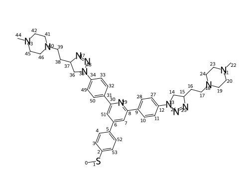 CSc1ccc(-c2cc(-c3ccc(N4CC(CCN5CCN(C)CC5)N=N4)cc3)nc(-c3ccc(N4CC(CCN5CCN(C)CC5)N=N4)cc3)c2)cc1